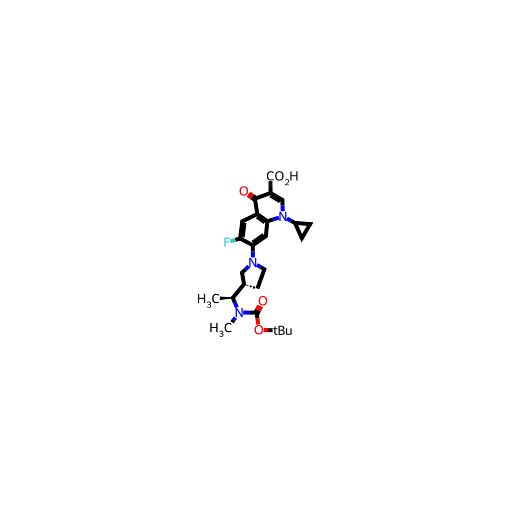 C[C@@H]([C@H]1CCN(c2cc3c(cc2F)c(=O)c(C(=O)O)cn3C2CC2)C1)N(C)C(=O)OC(C)(C)C